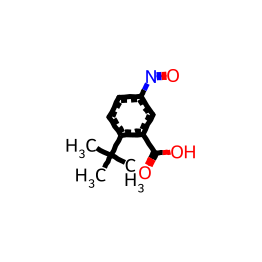 CC(C)(C)c1ccc(N=O)cc1C(=O)O